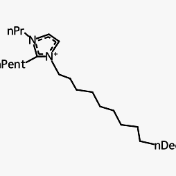 CCCCCCCCCCCCCCCCCCC[n+]1ccn(CCC)c1CCCCC